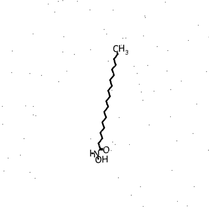 CCCCCCCCCCCCCCCCCCCC(=O)N(O)I